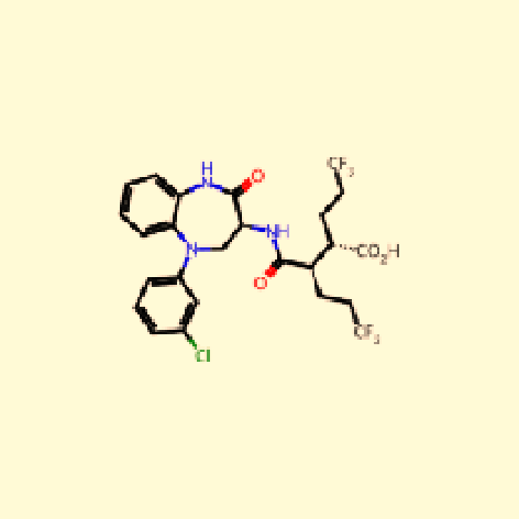 O=C1Nc2ccccc2N(c2cccc(Cl)c2)C[C@@H]1NC(=O)[C@H](CCC(F)(F)F)[C@H](CCC(F)(F)F)C(=O)O